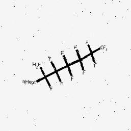 CCCCCCCC(F)(P)C(F)(F)C(F)(F)C(F)(F)C(F)(F)C(F)(F)F